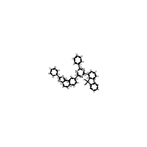 CC1(C)c2ccccc2-c2cccc(-c3nc(-c4ccccc4)nc(-c4ccc5ccc6nc(-c7ccccc7)sc6c5c4)n3)c21